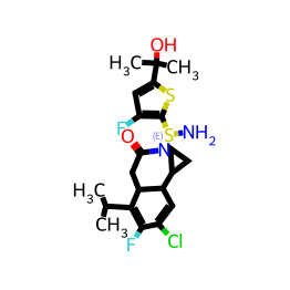 CC(C)C1=C(F)C(Cl)=CC(C2CC2)C1CC(=O)/N=S(/N)c1sc(C(C)(C)O)cc1F